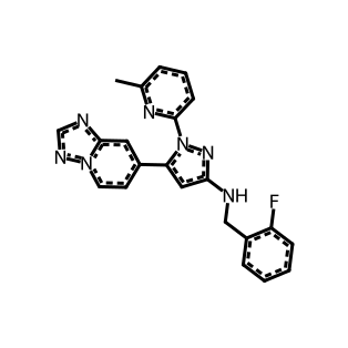 Cc1cccc(-n2nc(NCc3ccccc3F)cc2-c2ccn3ncnc3c2)n1